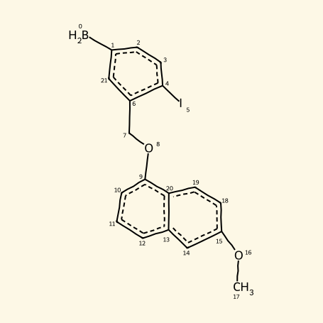 Bc1ccc(I)c(COc2cccc3cc(OC)ccc23)c1